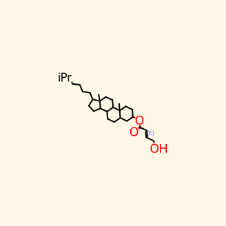 CC(C)CCCCC1CCC2C3CCC4CC(OC(=O)/C=C/CO)CCC4(C)C3CCC12C